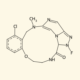 CN1Cc2c(Cl)cccc2OCCNC(=O)C2N(F)N=C3C=NC1=CN32